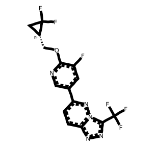 Fc1cc(-c2ccc3nnc(C(F)(F)F)n3n2)cnc1OC[C@@H]1CC1(F)F